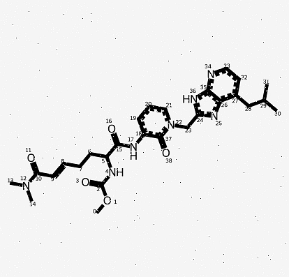 COC(=O)NC(CCC=CC(=O)N(C)C)C(=O)Nc1cccn(Cc2nc3c(CC(C)C)ccnc3[nH]2)c1=O